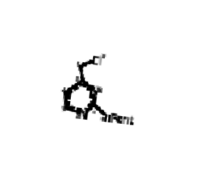 CCCCCc1nccc(CCl)n1